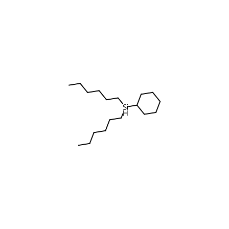 CCCCCC[SiH](CCCCCC)C1CCCCC1